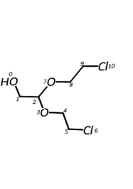 OCC(OCCCl)OCCCl